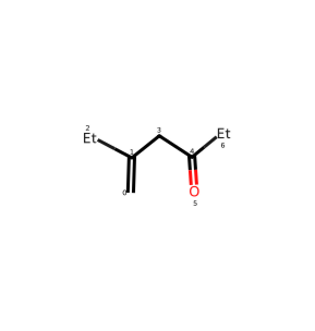 C=C(CC)CC(=O)CC